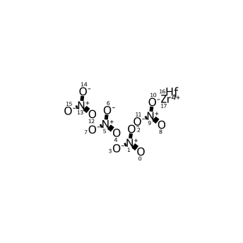 O=[N+]([O-])[O-].O=[N+]([O-])[O-].O=[N+]([O-])[O-].O=[N+]([O-])[O-].[Hf].[Zr+4]